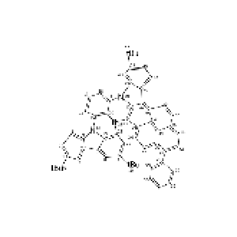 CC(C)(C)c1ccc2c(c1)c1cc(C(C)(C)C)cc3c1n2-c1cccc2c1B3c1c3ccc4c(-c5ccccc5)ccc5ccc(c3c54)c3c4ccc(C(C)(C)C)cc4n-2c13